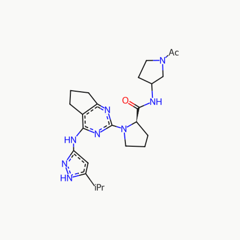 CC(=O)N1CCC(NC(=O)[C@H]2CCCN2c2nc3c(c(Nc4cc(C(C)C)[nH]n4)n2)CCC3)C1